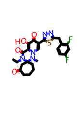 CCN1C(=O)c2c(O)c(=O)c(-c3nnc(Cc4ccc(F)cc4F)s3)cn2N(C)C12CCCCC(=O)C2